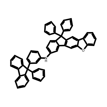 c1ccc(C2(c3cccc(Nc4ccc5c(c4)-c4cc6oc7ccccc7c6cc4C5(c4ccccc4)c4ccccc4)c3)c3ccccc3-c3ccccc32)cc1